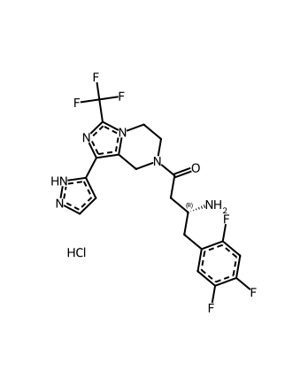 Cl.N[C@@H](CC(=O)N1CCn2c(C(F)(F)F)nc(-c3ccn[nH]3)c2C1)Cc1cc(F)c(F)cc1F